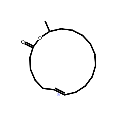 CC1CCCCCCCCC/C=C/CCCCC(=O)O1